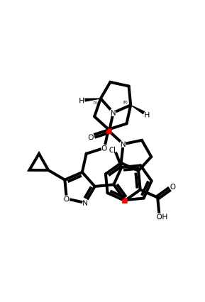 O=C(O)c1cccc2c1CCN2C(=O)N1[C@@H]2CC[C@H]1CC(OCc1c(-c3ccccc3Cl)noc1C1CC1)C2